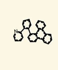 c1ccc(-c2ccccc2-c2cccc3c4ccccc4c4ccccc4c23)nc1